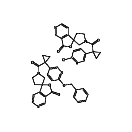 O=C1OC2(CCN(C(=O)C3(c4ccc(Cl)nc4)CC3)C2)c2ccncc21.O=C1OC2(CCN(C(=O)C3(c4ccc(OCc5ccccc5)nc4)CC3)C2)c2ccncc21